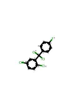 Fc1ccc(C(Cl)(Cl)c2cc(Cl)ccc2Cl)cc1